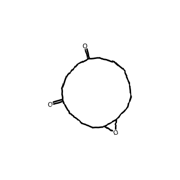 O=C1CCCCCCC2OC2CCCC(=O)CCC1